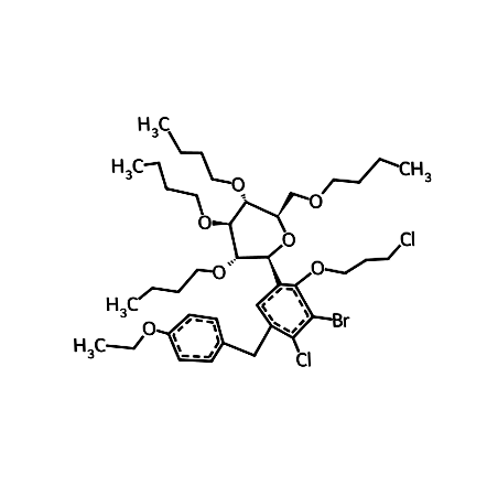 CCCCOC[C@H]1O[C@@H](c2cc(Cc3ccc(OCC)cc3)c(Cl)c(Br)c2OCCCCl)[C@H](OCCCC)[C@@H](OCCCC)[C@@H]1OCCCC